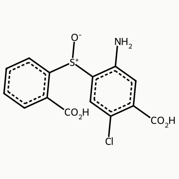 Nc1cc(C(=O)O)c(Cl)cc1[S+]([O-])c1ccccc1C(=O)O